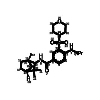 CC(C)Nc1ccc(C(=O)NC2C(C)(C)[C@@H]3CC[C@@]2(C)C3)cc1S(=O)(=O)N1CCOCC1